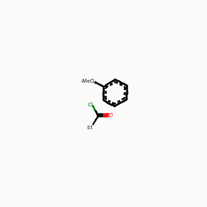 CCC(=O)Cl.COc1ccccc1